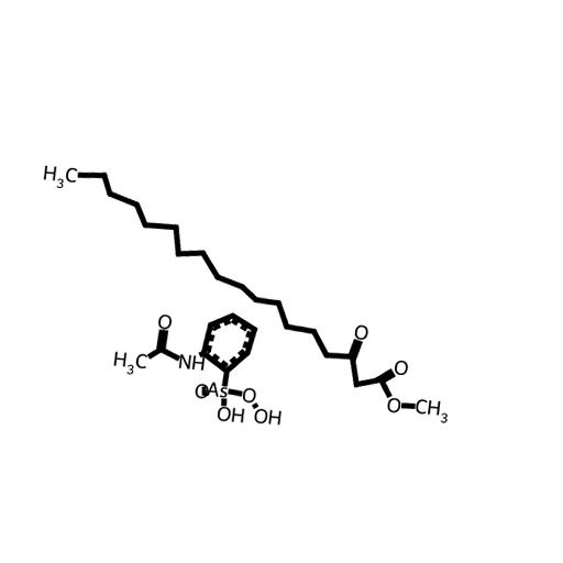 CC(=O)Nc1ccccc1[As](=O)(O)OO.CCCCCCCCCCCCCCCC(=O)CC(=O)OC